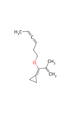 C=C(C)C(OCCC=C=CC)=C1CC1